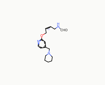 O=CNC/C=C\COc1cc(CN2CCCCC2)ccn1